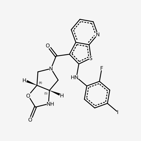 O=C1N[C@H]2CN(C(=O)c3c(Nc4ccc(I)cc4F)sc4ncccc34)C[C@H]2O1